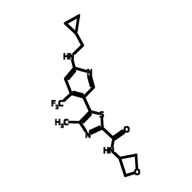 Cc1nc(C(=O)NC2COC2)sc1-c1cnc(NCC2CC2)cc1C(F)(F)F